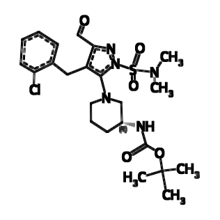 CN(C)S(=O)(=O)n1nc(C=O)c(Cc2ccccc2Cl)c1N1CCC[C@@H](NC(=O)OC(C)(C)C)C1